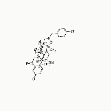 COC(=O)[C@@]12ON(Cc3ccc(Cl)cc3)C[C@@H]1C[C@H]1[C@@H]3C[C@H](F)C4=CC(=O)C=C[C@]4(C)[C@@]3(F)[C@@H](O)C[C@@]12C